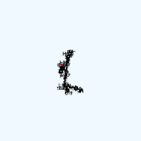 Cc1ncsc1-c1ccc(CNC(=O)[C@@H]2C[C@@H](O)CN2C(=O)[C@@H](NC(=O)CCCCNC(=O)CO[C@@H]2C[C@@H](C(=O)N(C)c3ccc(Br)cc3)N(C(=O)[C@@H](NC(=O)c3cc4cc(C(F)(F)P(=O)(O)O)ccc4s3)C(C)(C)C)C2)C(C)(C)C)cc1